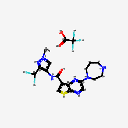 Cn1cc(NC(=O)c2csc3ncc(N4CCCNCC4)nc23)c(C(F)F)n1.O=C(O)C(F)(F)F